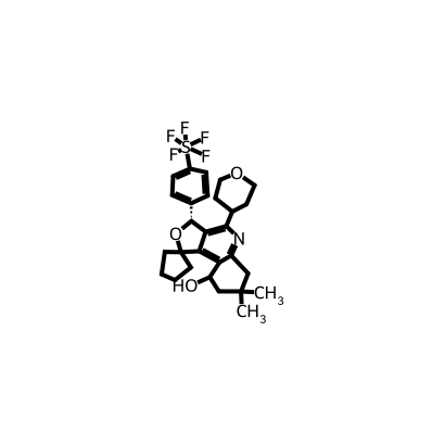 CC1(C)Cc2nc(C3CCOCC3)c3c(c2C(O)C1)C1(CCCC1)O[C@@H]3c1ccc(S(F)(F)(F)(F)F)cc1